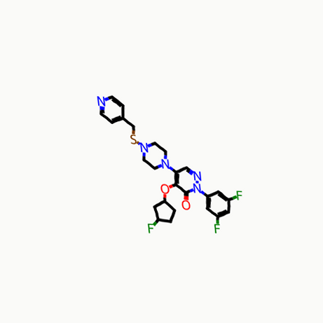 O=c1c(OC2CCC(F)C2)c(N2CCN(SCc3ccncc3)CC2)cnn1-c1cc(F)cc(F)c1